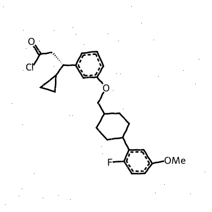 COc1ccc(F)c(C2CCC(COc3cccc([C@@H](CC(=O)Cl)C4CC4)c3)CC2)c1